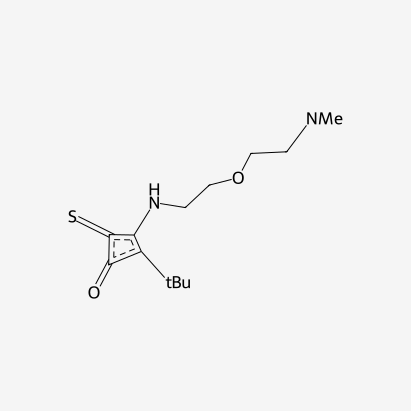 CNCCOCCNc1c(C(C)(C)C)c(=O)c1=S